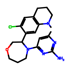 Cc1cc(N2CCCOCC2c2cc3c(cc2Cl)CCCN3C)nc(N)n1